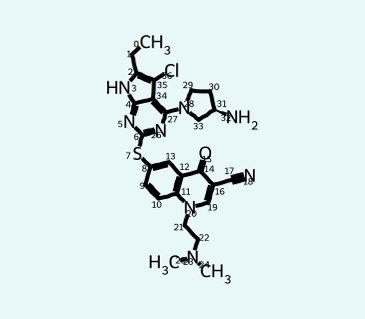 CCc1[nH]c2nc(Sc3ccc4c(c3)c(=O)c(C#N)cn4CCN(C)C)nc(N3CC[C@@H](N)C3)c2c1Cl